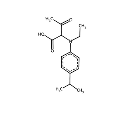 CCN(c1ccc(C(C)C)cc1)C(C(C)=O)C(=O)O